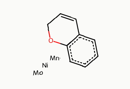 C1=Cc2ccccc2OC1.[Mn].[Mo].[Ni]